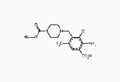 CC(C)(C)OC(=O)N1CCN(Cc2c(C(F)(F)F)cc(C(=O)O)c(N)c2Cl)CC1